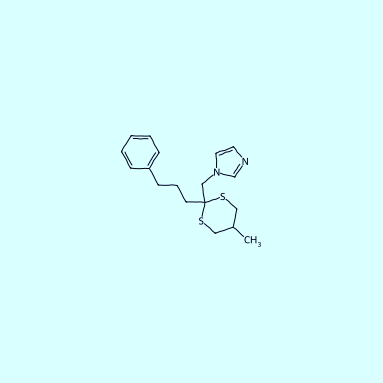 CC1CSC(CCCc2ccccc2)(Cn2ccnc2)SC1